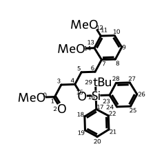 COC(=O)CC(CCc1cccc(OC)c1OC)O[Si](c1ccccc1)(c1ccccc1)C(C)(C)C